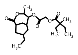 CCC1CC2CC(C1)C(OC(=O)COC(=O)C(C)(CC)CC)C(C)OC2=O